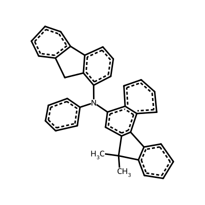 CC1(C)c2ccccc2-c2c1cc(N(c1ccccc1)c1cccc3c1Cc1ccccc1-3)c1ccccc21